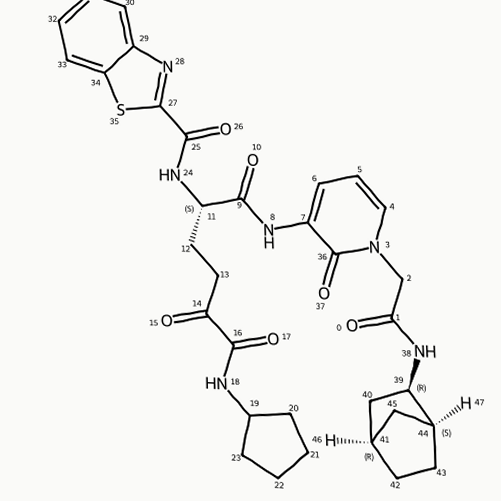 O=C(Cn1cccc(NC(=O)[C@H](CCC(=O)C(=O)NC2CCCC2)NC(=O)c2nc3ccccc3s2)c1=O)N[C@@H]1C[C@@H]2CC[C@H]1C2